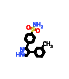 Cc1cccc(-c2c[nH]nc2-c2ccc(S(N)(=O)=O)cc2)c1